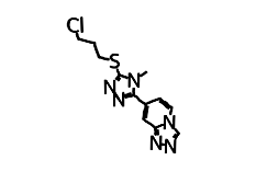 Cn1c(SCCCCl)nnc1-c1ccn2cnnc2c1